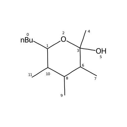 CCCCC1OC(C)(O)C(C)C(C)C1C